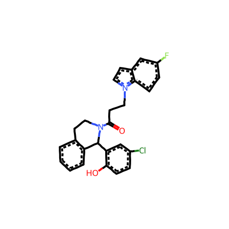 O=C(CCn1ccc2cc(F)ccc21)N1CCc2ccccc2C1c1cc(Cl)ccc1O